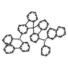 c1ccc(-c2ccccc2N(c2ccccc2)c2ccc3c(c2)C2(c4ccccc4-3)c3ccccc3-c3c(N(c4ccccc4)c4ccc5ccccc5c4)cccc32)cc1